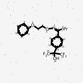 CCCC(=NOCCOc1ccccc1)c1ccc(C(O)(C(F)(F)F)C(F)(F)F)cc1